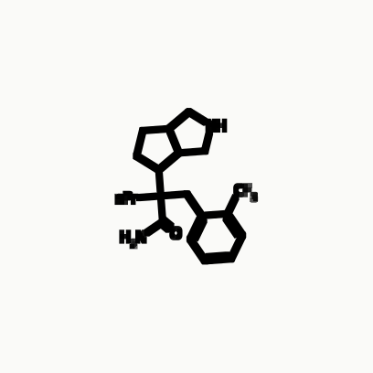 CCCC(Cc1ccccc1C(F)(F)F)(C(N)=O)C1CCC2CNCC21